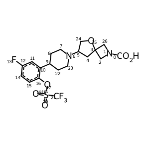 O=C(O)N1CC2(CC(N3CCC(c4cc(F)ccc4OS(=O)(=O)C(F)(F)F)CC3)CO2)C1